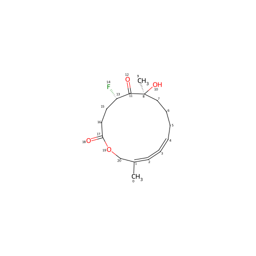 CC1=C=C=CCCC[C@](C)(O)C(=O)[C@@H](F)CCC(=O)OC1